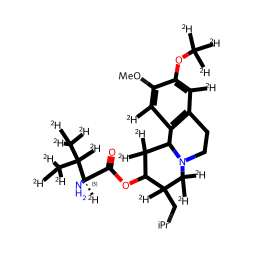 [2H]c1c2c(c([2H])c(OC)c1OC([2H])([2H])[2H])C1N(CC2)C([2H])([2H])C([2H])(CC(C)C)C(OC(=O)[C@@]([2H])(N)C([2H])(C([2H])([2H])[2H])C([2H])([2H])[2H])C1([2H])[2H]